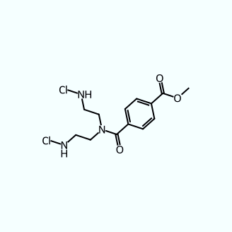 COC(=O)c1ccc(C(=O)N(CCNCl)CCNCl)cc1